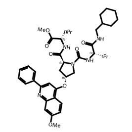 CCC[C@H](NC(=O)[C@@H]1C[C@@H](Oc2cc(-c3ccccc3)nc3cc(OC)ccc23)CN1C(=O)N[C@H](C(=O)NCC1CCCCC1)C(C)C)C(=O)OC